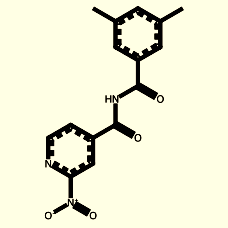 Cc1cc(C)cc(C(=O)NC(=O)c2ccnc([N+](=O)[O-])c2)c1